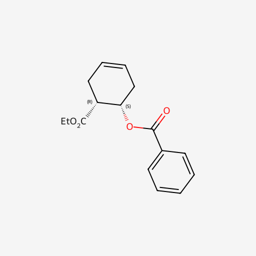 CCOC(=O)[C@@H]1CC=CC[C@@H]1OC(=O)c1ccccc1